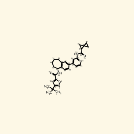 CC(C)(C)c1noc(C(=O)N[C@H]2CCCCc3cc(-c4ccnc(NC(=O)[C@H]5CC56CC6)c4)ccc32)n1